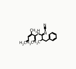 C=C/C=C(C)\C(=C/C)NC(=NC#N)C(C)Cc1ccccc1